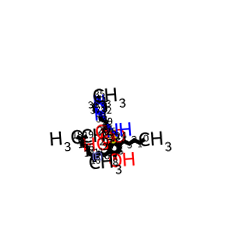 CCCCCc1cc(O)c(C/C=C(\C)CCC=C(C)C)c(O)c1S(=O)(=O)NC(=O)CCN1CCN(C)CC1